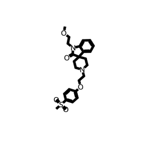 COCCN1C(=O)C2(CCN(CCOc3ccc(S(C)(=O)=O)cc3)CC2)c2ccccc21